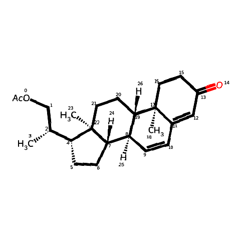 CC(=O)OC[C@@H](C)[C@H]1CC[C@H]2[C@@H]3C=CC4=CC(=O)CC[C@]4(C)[C@H]3CC[C@]12C